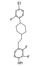 CCCc1ccc(CCC2CCC(c3ccc(CC)cc3F)CC2)c(F)c1F